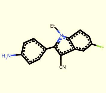 CCn1c(-c2ccc(N)cc2)c(C#N)c2cc(F)ccc21